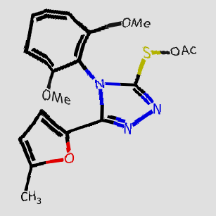 COc1cccc(OC)c1-n1c(SOC(C)=O)nnc1-c1ccc(C)o1